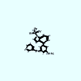 CC(=O)Nc1cc(Nc2cccnc2)cc(-c2cccc3c2ccn3[Si](C(C)C)(C(C)C)C(C)C)c1